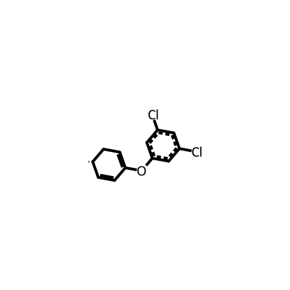 Clc1cc(Cl)cc(OC2=CC[CH]C=C2)c1